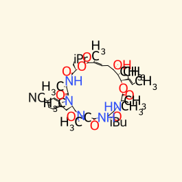 C/C=C(\C)[C@H]1OC(=O)C(C)(C)NC(=O)[C@H](C(C)CC)NC(=O)CN(C)C(=O)[C@@H](Cc2ccc(C#N)cc2)N(C)C(=O)[C@H](C)NC(=O)[C@@H](CC(C)C)OC(=O)/C(C)=C/C[C@H](O)[C@@H]1C